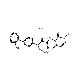 Cc1ccccc1-c1ccc(C(CC(=O)O)NC(=O)NC2C(=O)C=CN(C)C2=O)cc1.[NaH]